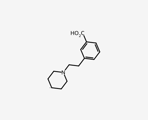 O=C(O)c1cccc(CCN2CC[CH]CC2)c1